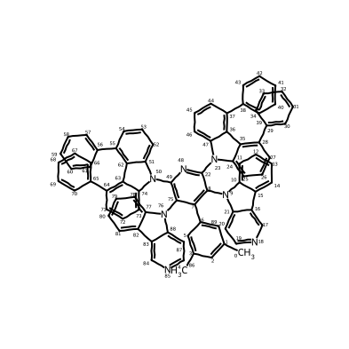 Cc1cc(C)cc(-c2c(-n3c4ccccc4c4cnccc43)c(-n3c4cccc(-c5ccccc5)c4c4c(-c5ccccc5)cccc43)nc(-n3c4cccc(-c5ccccc5)c4c4c(-c5ccccc5)cccc43)c2-n2c3ccccc3c3cnccc32)c1